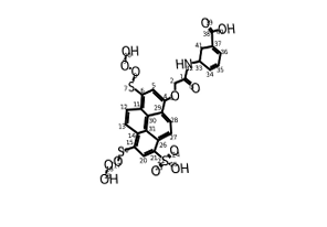 O=C(COc1cc(SOOO)c2ccc3c(SOOO)cc(S(=O)(=O)O)c4ccc1c2c34)NC1C=CC=C(C(=O)O)C1